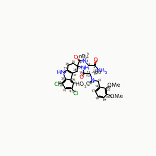 CCCCN(CC(N)=O)C(=O)C1(NC(=O)[C@H](C(C)CC)N(Cc2cccc(OC)c2OC)C(=O)O)CCc2[nH]c3c(Cl)cc(Cl)cc3c2C1